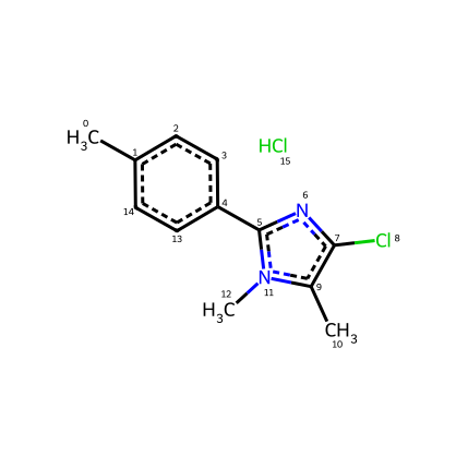 Cc1ccc(-c2nc(Cl)c(C)n2C)cc1.Cl